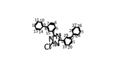 Clc1nc(-c2cc#cc(-c3ccccc3)c2)nc(-c2cccc(-c3ccccc3)c2)n1